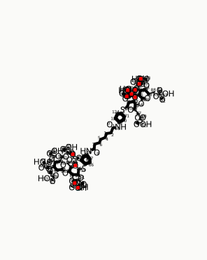 O=C(CCCCCCC(=O)Nc1ccc(S[C@@H]2O[C@H](COS(=O)(=O)O)[C@@H](O[C@@H]3O[C@H](COS(=O)(=O)O)[C@@H](OS(=O)(=O)O)[C@H](OS(=O)(=O)O)[C@H]3OS(=O)(=O)O)[C@H](OS(=O)(=O)O)[C@H]2OS(=O)(=O)O)cc1)Nc1ccc(S[C@@H]2O[C@H](COS(=O)(=O)O)[C@@H](O[C@@H]3O[C@H](COS(=O)(=O)O)[C@@H](OS(=O)(=O)O)[C@H](OS(=O)(=O)O)[C@H]3OS(=O)(=O)O)[C@H](OS(=O)(=O)O)[C@H]2OS(=O)(=O)O)cc1